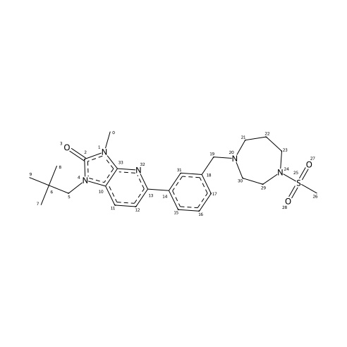 Cn1c(=O)n(CC(C)(C)C)c2ccc(-c3cccc(CN4CCCN(S(C)(=O)=O)CC4)c3)nc21